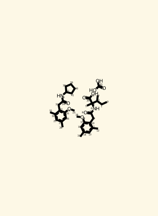 CCC(C)C(C)(NC(=O)Cc1c(C)cc(C)cc1OC)C(=O)O.COc1cc(C)cc(C)c1CC(=O)NC1CCCC1.O=C(O)O